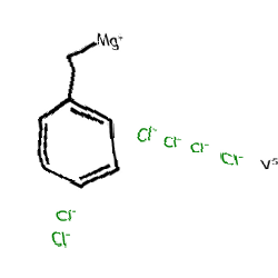 [Cl-].[Cl-].[Cl-].[Cl-].[Cl-].[Cl-].[Mg+][CH2]c1ccccc1.[V+5]